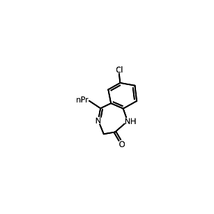 CCCC1=NCC(=O)Nc2ccc(Cl)cc21